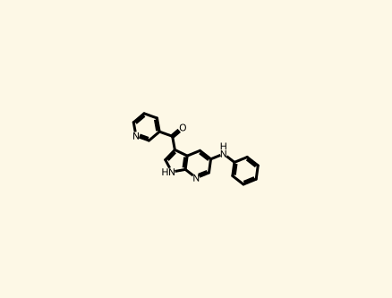 O=C(c1cccnc1)c1c[nH]c2ncc(Nc3ccccc3)cc12